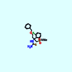 CNS(=O)(=O)CC(CCOCc1ccccc1)(NC(N)=S)c1ccccc1F